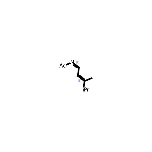 CC(=O)/N=C\C=C(/C)C(C)C